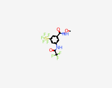 CONC(=O)c1cc(NC(=O)C(F)(F)F)cc(S(F)(F)(F)(F)F)c1